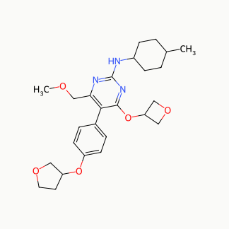 COCc1nc(NC2CCC(C)CC2)nc(OC2COC2)c1-c1ccc(OC2CCOC2)cc1